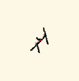 CCCCCCCCCCN(CCCCCCCCCC)C(=O)CCCCCC(CCCCCC(=O)N(CCCCCCCCCC)CCCCCCCCCC)OC(=O)CCN(C)C